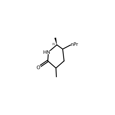 CCCC1CC(C)C(=O)N[C@H]1C